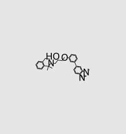 Cn1cnc2ccc(-c3cccc(OCC(O)CN4CCc5ccccc5C4(C)C)c3)cc21